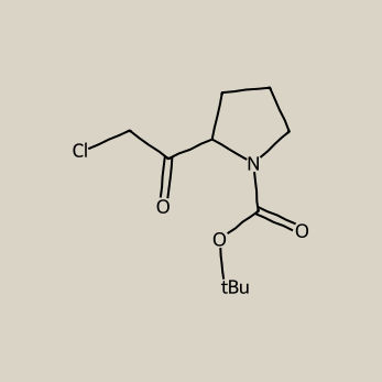 CC(C)(C)OC(=O)N1CCCC1C(=O)CCl